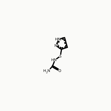 NC(=O)NSc1cc[nH]n1